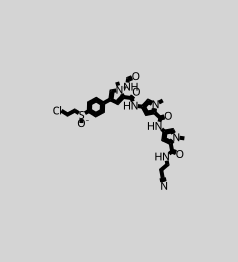 Cn1cc(NC(=O)c2cc(NC(=O)C3=CC(c4ccc([S+]([O-])CCCl)cc4)=C[N+]3(C)NC=O)cn2C)cc1C(=O)NCCC#N